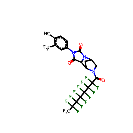 N#Cc1ccc(N2C(=O)C3C4CC(CN4C(=O)C(F)(F)C(F)(F)C(F)(F)C(F)(F)C(F)(F)C(F)(F)C(F)(F)F)N3C2=O)cc1C(F)(F)F